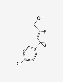 OCC(F)=CC1(c2ccc(Cl)cc2)CC1